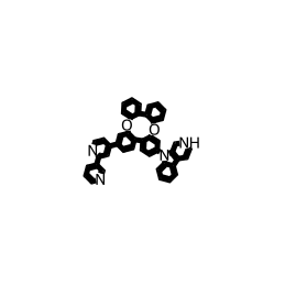 C1=Cc2c(n(-c3ccc4c(c3)Oc3ccccc3-c3ccccc3Oc3cc(-c5ccnc(-c6cccnc6)c5)ccc3-4)c3ccccc23)CN1